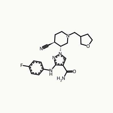 N#C[C@H]1CCN(CC2CCOC2)C[C@@H]1n1cc(C(N)=O)c(Nc2ccc(F)cc2)n1